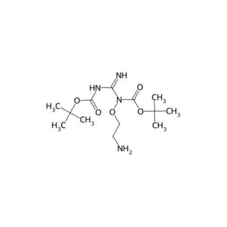 CC(C)(C)OC(=O)NC(=N)N(OCCN)C(=O)OC(C)(C)C